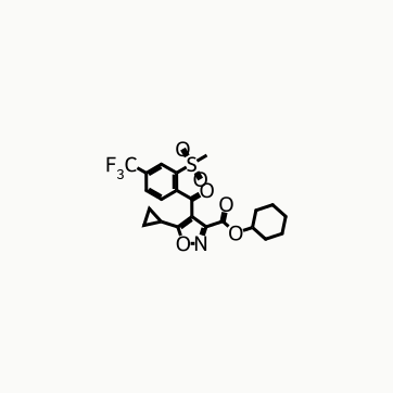 CS(=O)(=O)c1cc(C(F)(F)F)ccc1C(=O)c1c(C(=O)OC2CCCCC2)noc1C1CC1